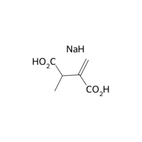 C=C(C(=O)O)C(C)C(=O)O.[NaH]